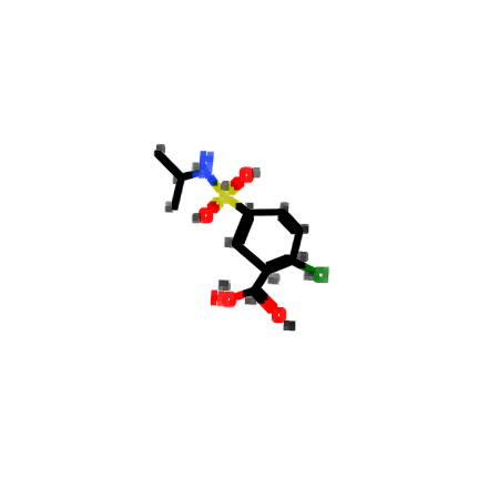 CC(C)NS(=O)(=O)c1ccc(Cl)c(C(=O)O)c1